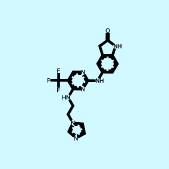 O=C1Cc2cc(Nc3ncc(C(F)(F)F)c(NCCn4ccnc4)n3)ccc2N1